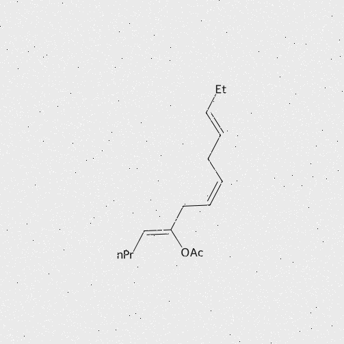 CCC=CC/C=C\C/C(=C/CCC)OC(C)=O